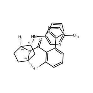 O=C(c1c(F)cccc1-c1ncco1)N1[C@@H]2CC[C@H]1[C@H](Nc1cnc(C(F)(F)F)cn1)C2